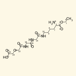 CCOC(=O)[C@@H](N)CCCCNC(=O)CNC(=O)CNC(=O)COCC(=O)O